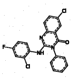 O=c1c2cc(Cl)ccc2nc(Nc2ccc(F)cc2Cl)n1-c1ccccc1